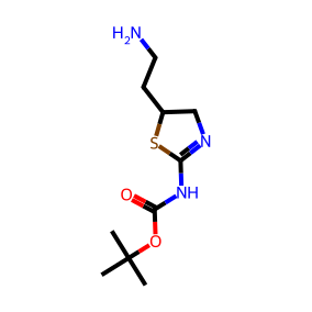 CC(C)(C)OC(=O)NC1=NCC(CCN)S1